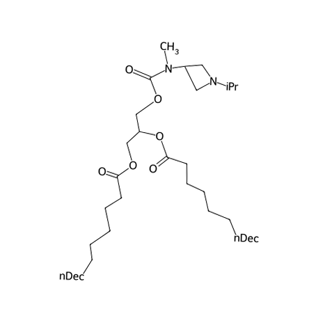 CCCCCCCCCCCCCCCC(=O)OCC(COC(=O)N(C)C1CN(C(C)C)C1)OC(=O)CCCCCCCCCCCCCCC